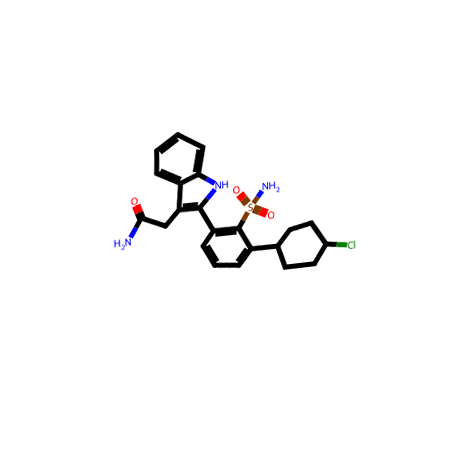 NC(=O)Cc1c(-c2cccc(C3CCC(Cl)CC3)c2S(N)(=O)=O)[nH]c2ccccc12